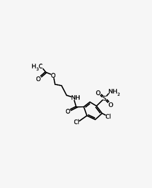 CC(=O)OCCCNC(=O)c1cc(S(N)(=O)=O)c(Cl)cc1Cl